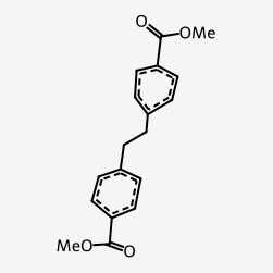 COC(=O)c1ccc(CCc2ccc(C(=O)OC)cc2)cc1